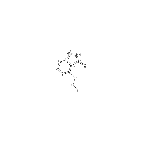 CCCc1cccc2[nH][nH]c(=O)c12